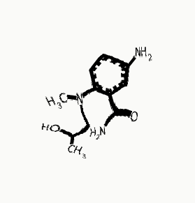 CC(O)CN(C)c1ccc(N)cc1C(N)=O